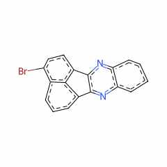 Brc1ccc2c3c(cccc13)-c1nc3ccccc3nc1-2